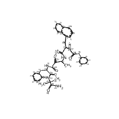 CC(NC(=O)C(Cc1cccc2ccccc12)NC(=O)Cc1ccccc1)C(=O)C(=O)NC(Cc1ccccc1)C(=O)NC(C)(C)C(N)=O